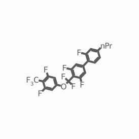 CCCc1ccc(-c2cc(F)c(C(F)(F)Oc3cc(F)c(C(F)(F)F)c(F)c3)c(F)c2)c(F)c1